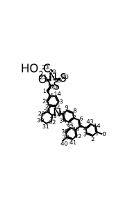 Cc1ccc(C(=Cc2ccc(N3c4ccc(/C=C5\SC(=S)N(CC(=O)O)C5=O)cc4C4CCCCC43)cc2)c2ccc(C)cc2)cc1